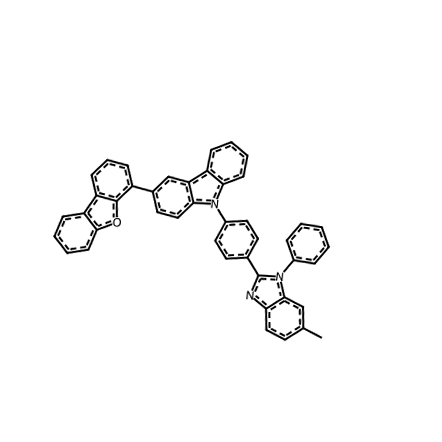 Cc1ccc2nc(-c3ccc(-n4c5ccccc5c5cc(-c6cccc7c6oc6ccccc67)ccc54)cc3)n(-c3ccccc3)c2c1